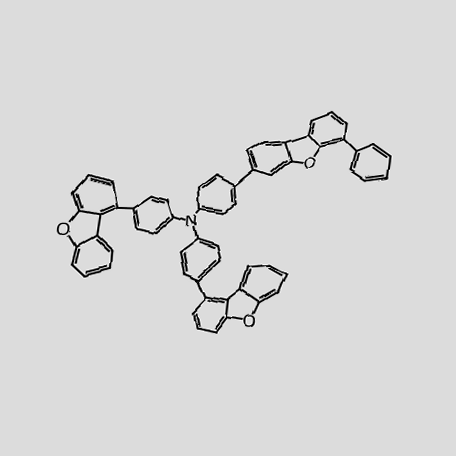 c1ccc(-c2cccc3c2oc2cc(-c4ccc(N(c5ccc(-c6cccc7oc8ccccc8c67)cc5)c5ccc(-c6cccc7oc8ccccc8c67)cc5)cc4)ccc23)cc1